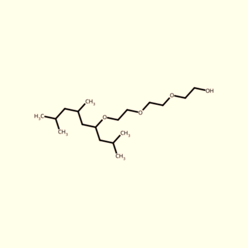 CC(C)CC(C)CC(CC(C)C)OCCOCCOCCO